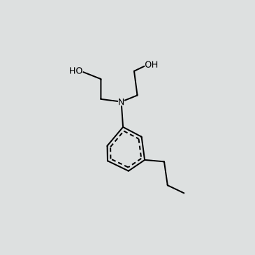 CCCc1cccc(N(CCO)CCO)c1